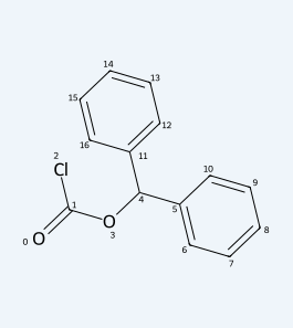 O=C(Cl)OC(c1ccccc1)c1ccccc1